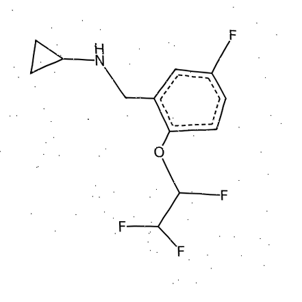 Fc1ccc(OC(F)C(F)F)c(CNC2CC2)c1